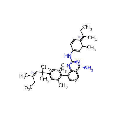 CC/C(C)=C\C(C)(C)c1cc(C)c(-c2cccc3c(N)nc(NC4=CC(C)/C(=C(\C)CC)C=C4)nc23)c(C)c1